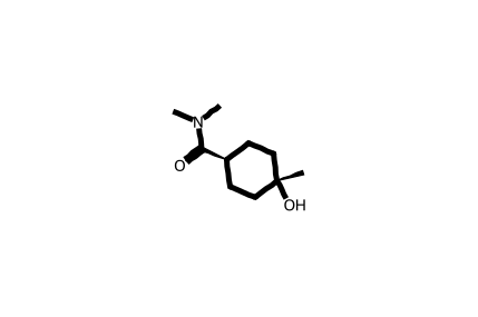 CN(C)C(=O)[C@H]1CC[C@](C)(O)CC1